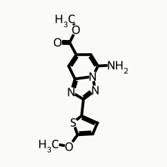 COC(=O)c1cc(N)n2nc(-c3ccc(OC)s3)nc2c1